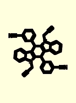 C#CCn1c2c(c3ccccc31)C(c1cccc(C#N)c1)c1c(c3ccccc3n1CC#C)C2c1cccc(C#N)c1